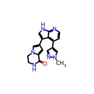 Cn1cc(-c2ccnc3[nH]cc(-c4cc5n(c4)CCNC5=O)c23)cn1